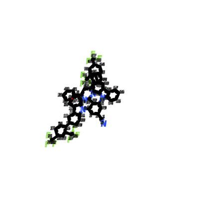 N#Cc1cc(-n2c3ccccc3c3cc(-c4ccc(C(F)(F)F)cc4C(F)(F)F)ccc32)c(-c2nc(-c3ccccc3)cc(-c3ccccc3)n2)c(-n2c3ccccc3c3cc(-c4ccc(C(F)(F)F)cc4C(F)(F)F)ccc32)c1